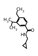 CCc1ccc(C(=O)NCC2CC2)cc1C(C)C